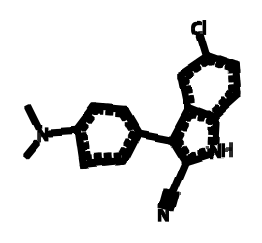 CN(C)c1ccc(-c2c(C#N)[nH]c3ccc(Cl)cc23)cc1